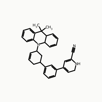 CC1(C)c2ccccc2N(C2C=CCC(c3cccc(C4=CCNC(C#N)=C4)c3)C2)C2C=CC=CC21